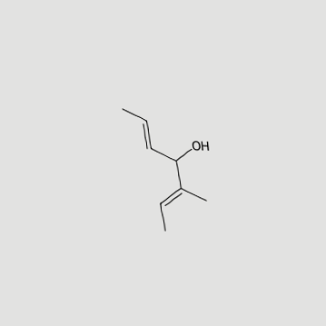 CC=CC(O)C(C)=CC